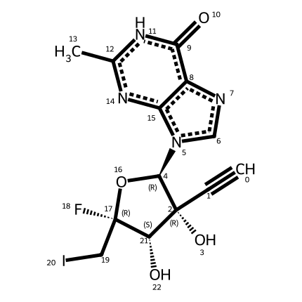 C#C[C@]1(O)[C@H](n2cnc3c(=O)[nH]c(C)nc32)O[C@](F)(CI)[C@H]1O